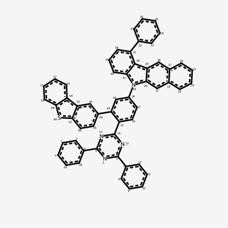 c1ccc(-c2nc(-c3ccccc3)nc(-c3ccc(-n4c5cc6ccccc6cc5c5c(-c6ccccc6)cccc54)cc3-c3ccc4sc5ccccc5c4c3)n2)cc1